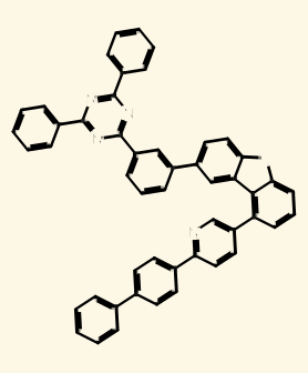 c1ccc(-c2ccc(-c3ccc(-c4cccc5oc6ccc(-c7cccc(-c8nc(-c9ccccc9)nc(-c9ccccc9)n8)c7)cc6c45)cn3)cc2)cc1